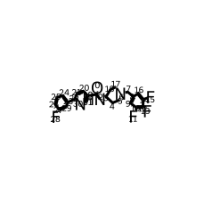 O=C(NC1CCN(Cc2cc(F)c(F)c(F)c2)CC1)c1ccc(-c2cccc(F)c2)nc1